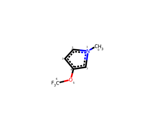 Cn1[c]cc(OC(F)(F)F)c1